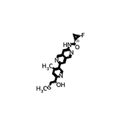 CSC[C@@H](O)c1cc(C)c(-c2cc3cnc(NC(=O)[C@@H]4C[C@@H]4F)cc3cn2)cn1